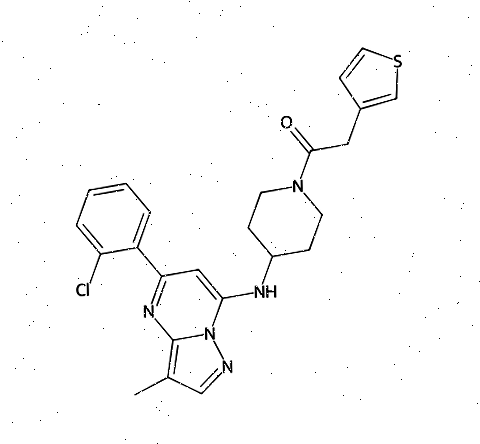 Cc1cnn2c(NC3CCN(C(=O)Cc4ccsc4)CC3)cc(-c3ccccc3Cl)nc12